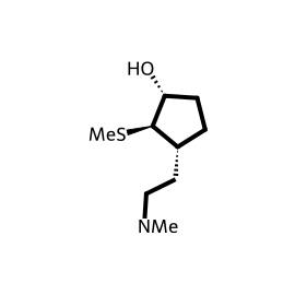 CNCC[C@H]1CC[C@@H](O)[C@@H]1SC